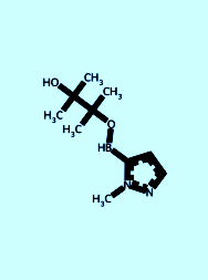 Cn1nccc1BOC(C)(C)C(C)(C)O